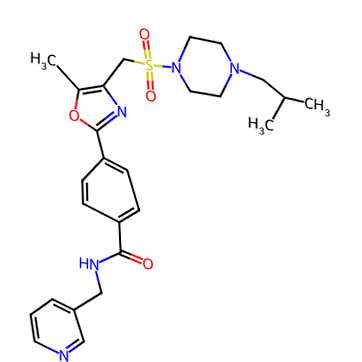 Cc1oc(-c2ccc(C(=O)NCc3cccnc3)cc2)nc1CS(=O)(=O)N1CCN(CC(C)C)CC1